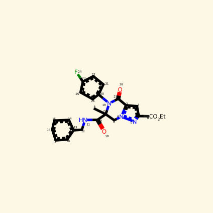 CCOC(=O)c1cc2n(n1)CC(C)(C(=O)NCc1ccccc1)N(c1ccc(F)cc1)C2=O